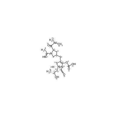 CC(=N)N1CC(SC2=C(OC(=O)O)N3C(=O)[C@H]([C@@H](C)O)[C@H]3S2)CC1C(=O)N(C)C